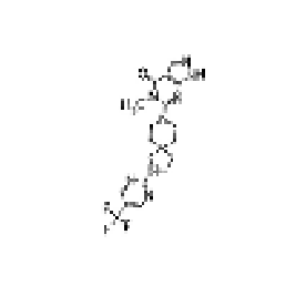 Cn1c(N2CCC3(CCN(c4ncc(C(F)(F)F)cn4)C3)CC2)nc2[nH]ncc2c1=O